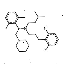 Cc1cccc(C)c1C(CN1CCCCC1)N(CCCc1c(F)cccc1F)CCC(C)C